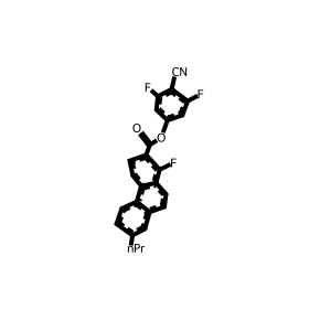 CCCc1ccc2c(ccc3c(F)c(C(=O)Oc4cc(F)c(C#N)c(F)c4)ccc32)c1